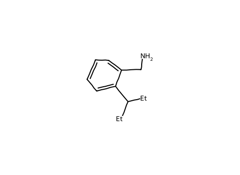 CCC(CC)c1ccccc1CN